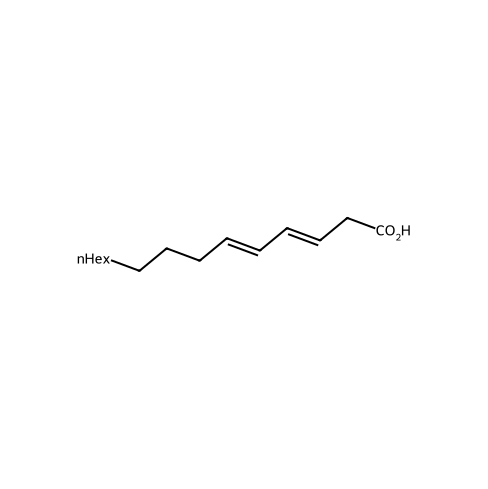 CCCCCCCCC/C=C/C=C/CC(=O)O